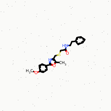 COc1ccc(-c2nc(CSCC(=O)NCCc3ccccc3)c(C)o2)cc1